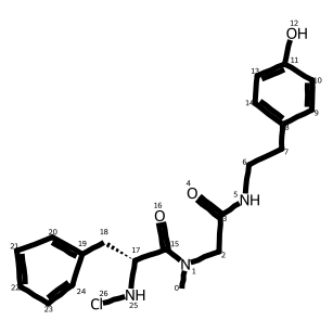 CN(CC(=O)NCCc1ccc(O)cc1)C(=O)[C@@H](Cc1ccccc1)NCl